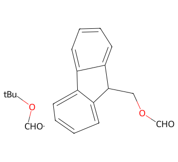 CC(C)(C)O[C]=O.O=COCC1c2ccccc2-c2ccccc21